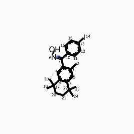 Cc1cc2c(cc1/C(=N/O)c1ccc(I)cc1)C(C)(C)CCC2(C)C